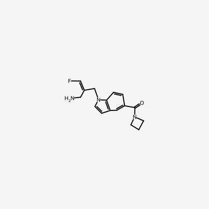 NC/C(=C\F)Cn1ccc2cc(C(=O)N3CCC3)ccc21